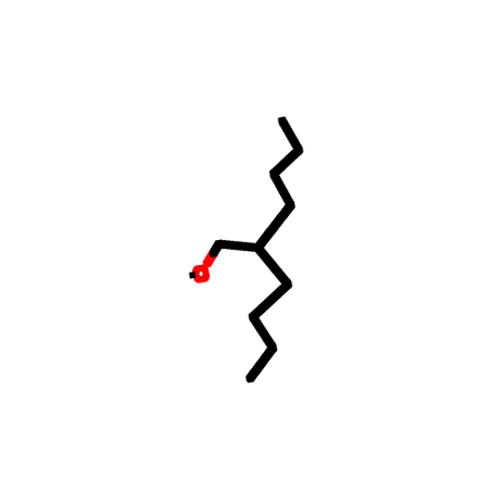 CCCCC(C[O])CCCC